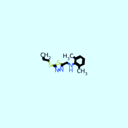 C=CCSc1nnc(CNc2c(C)cccc2C)s1